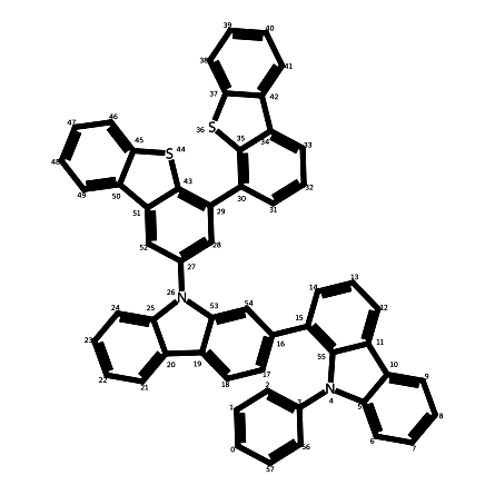 c1ccc(-n2c3ccccc3c3cccc(-c4ccc5c6ccccc6n(-c6cc(-c7cccc8c7sc7ccccc78)c7sc8ccccc8c7c6)c5c4)c32)cc1